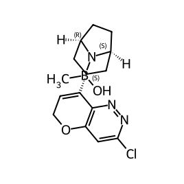 CB(O)N1[C@@H]2CC[C@H]1C[C@H](C1=CCOc3cc(Cl)nnc31)C2